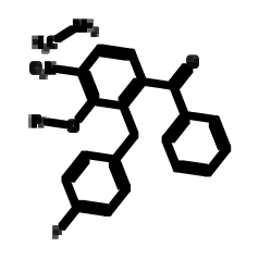 CC(C)Oc1c([N+](=O)[O-])ccc(C(=O)c2ccccc2)c1Cc1ccc(F)cc1.CN